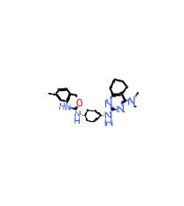 Cc1ccc(C)c(NC(=O)N[C@H]2CC[C@@H](Nc3nc4c(c(N(C)C)n3)CCCC4)CC2)c1